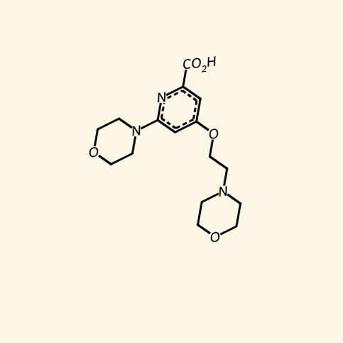 O=C(O)c1cc(OCCN2CCOCC2)cc(N2CCOCC2)n1